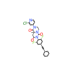 CC12CC(=O)N(c3c(F)cc(C#Cc4ccccc4)cc3F)C(=O)N1CCN(c1ccnc(Cl)c1)C2=O